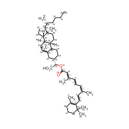 CC1=C(/C=C/C(C)=C\C=C\C(C)=C\C(=O)OC(C(=O)O)[C@H]2CC[C@@]3(C)C(=CC[C@H]4[C@@H]5CC[C@H]([C@H](C)CCCC(C)C)[C@@]5(C)CC[C@@H]43)C2)C(C)(C)CCC1